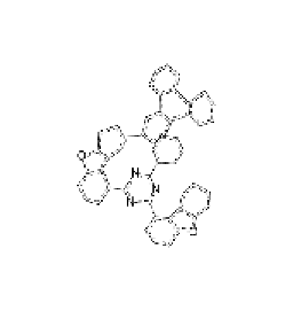 c1ccc(-c2nc(-c3cccc4oc5ccccc5c34)nc(-c3cccc4oc5ccc(-c6ccc7c8ccccc8c8ccccc8c7c6)cc5c34)n2)cc1